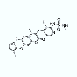 CNS(=O)(=O)Nc1nccc(Cc2c(C)c3cc(F)c(Oc4nccn4C)cc3oc2=O)c1F